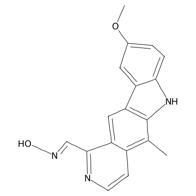 COc1ccc2[nH]c3c(C)c4ccnc(C=NO)c4cc3c2c1